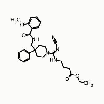 CCOC(=O)CCCN/C(=N/C#N)N1CCC(CNC(=O)c2ccccc2OC)(c2ccccc2)CC1